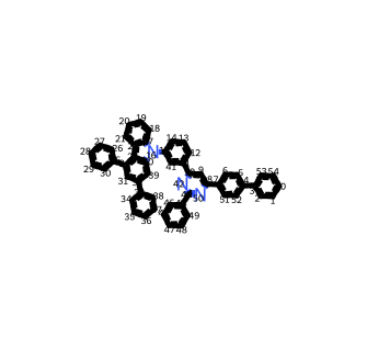 c1ccc(-c2ccc(-c3cc(-c4cccc(-n5c6ccccc6c6c(-c7ccccc7)cc(-c7ccccc7)cc65)c4)nc(-c4ccccc4)n3)cc2)cc1